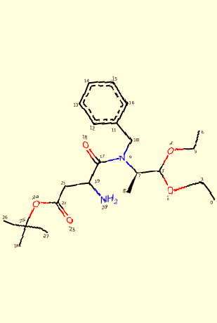 CCOC(OCC)[C@@H](C)N(Cc1ccccc1)C(=O)C(N)CC(=O)OC(C)(C)C